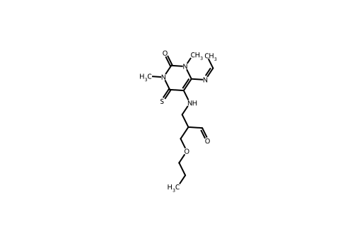 C/C=N\c1c(NCC(C=O)COCCC)c(=S)n(C)c(=O)n1C